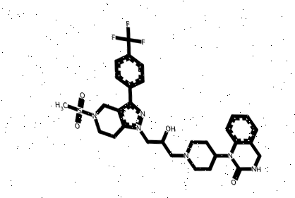 CS(=O)(=O)N1CCc2c(c(-c3ccc(C(F)(F)F)cc3)nn2CC(O)CN2CCC(N3C(=O)NCc4ccccc43)CC2)C1